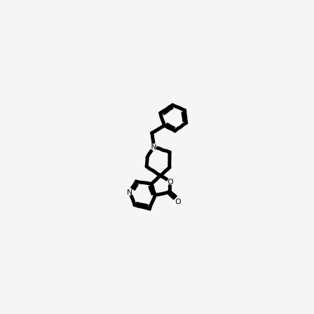 O=C1OC2(CCN(Cc3ccccc3)CC2)c2cnccc21